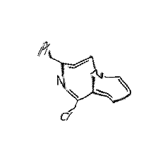 CC(C)c1cn2cccc2c(Cl)n1